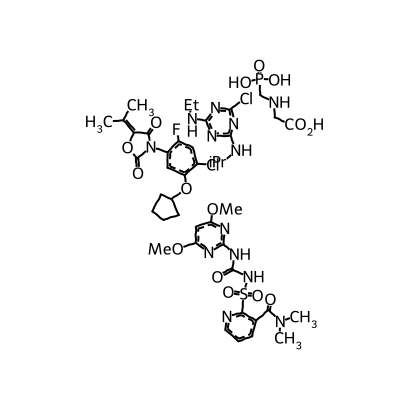 CC(C)=C1OC(=O)N(c2cc(OC3CCCC3)c(Cl)cc2F)C1=O.CCNc1nc(Cl)nc(NC(C)C)n1.COc1cc(OC)nc(NC(=O)NS(=O)(=O)c2ncccc2C(=O)N(C)C)n1.O=C(O)CNCP(=O)(O)O